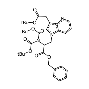 CC(C)(C)OC(=O)Cc1cn(CC(C(=O)OCc2ccccc2)N(C(=O)OC(C)(C)C)C(=O)OC(C)(C)C)c2cccnc12